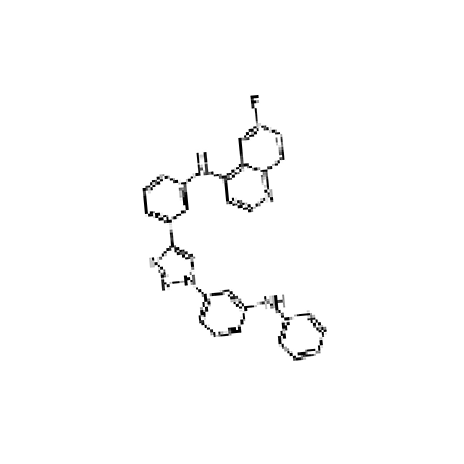 Fc1ccc2nccc(Nc3cccc(-c4cn(-c5cccc(Nc6ccccc6)c5)nn4)c3)c2c1